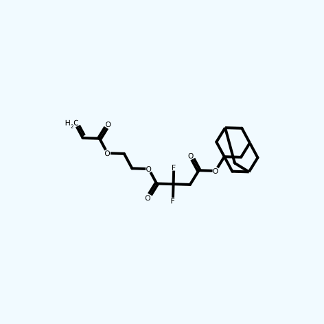 C=CC(=O)OCCOC(=O)C(F)(F)CC(=O)OC12CC3CC(CC(C3)C1)C2